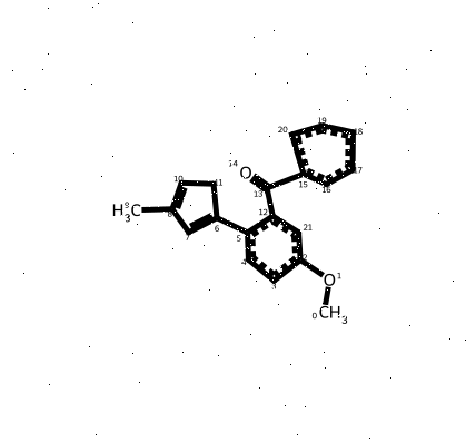 COc1ccc(C2=CC(C)=CC2)c(C(=O)c2ccccc2)c1